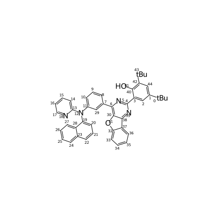 CC(C)(C)c1cc(-c2nc(-c3cccc(N(c4ccccn4)c4cccc5ccccc45)c3)c3oc4ccccc4c3n2)c(O)c(C(C)(C)C)c1